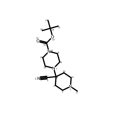 CN1CCC(C#N)(N2CCN(C(=O)OC(C)(C)C)CC2)CC1